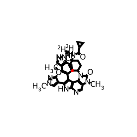 [2H]C([2H])([2H])n1ncc2cc(-c3c(-c4cn(C)nc4OC)[nH]c4ncc5c(c34)n(C3CCC(C)(NC(=O)C4CC4)CC3)c(=O)n5C)ccc21